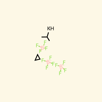 C1CC1.CC(C)C.F[B-](F)(F)F.F[B-](F)(F)F.F[B-](F)(F)F.[KH]